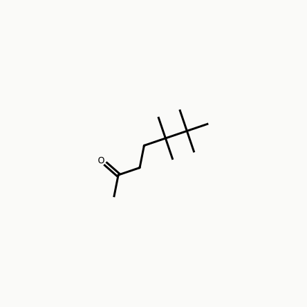 CC(=O)CCC(C)(C)C(C)(C)C